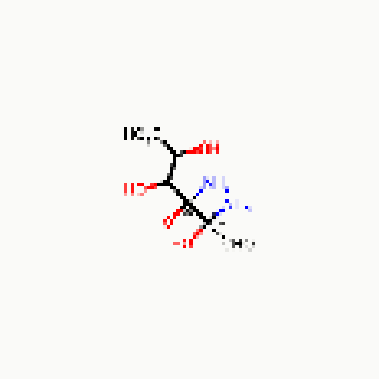 N[C@](O)(C=O)[C@@](N)(O)C(O)C(O)C(=O)O